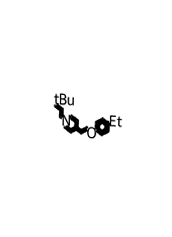 CCc1ccc(OCCC2CCN(CCCC(C)(C)C)CC2)cc1